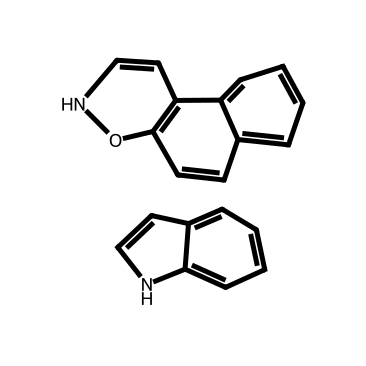 C1=Cc2c(ccc3ccccc23)ON1.c1ccc2[nH]ccc2c1